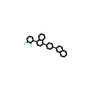 Fc1cccc(-c2ccc(-c3ccc(-c4ccc5ccccc5c4)cc3)c3ccccc23)c1F